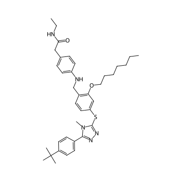 CCCCCCCOc1cc(Sc2nnc(-c3ccc(C(C)(C)C)cc3)n2C)ccc1CNc1ccc(CC(=O)NCC)cc1